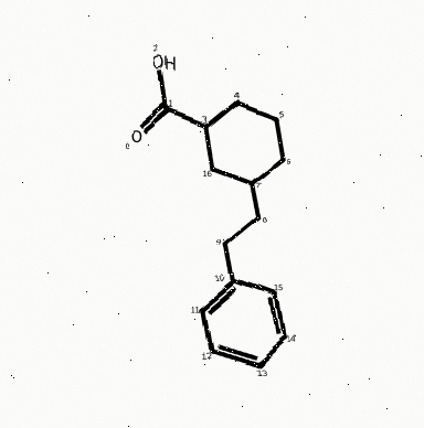 O=C(O)C1CCCC(CCc2ccccc2)C1